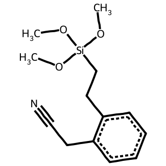 CO[Si](CCc1ccccc1CC#N)(OC)OC